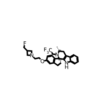 C[C@@H]1Cc2c([nH]c3ccccc23)[C@]2(CCc3cc(OCCN4CC(CF)C4)ccc32)N1CC(F)(F)F